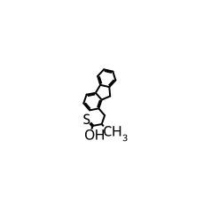 CC(Cc1cccc2c1Cc1ccccc1-2)C(O)=S